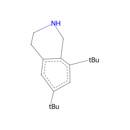 CC(C)(C)c1cc2c(c(C(C)(C)C)c1)CNCC2